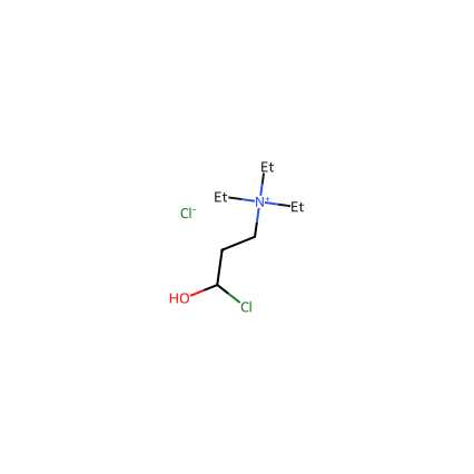 CC[N+](CC)(CC)CCC(O)Cl.[Cl-]